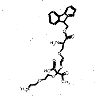 CC(=O)C(OCCOCCN)(OCCOCC(N)C(=O)OCC1c2ccccc2-c2ccccc21)C(=O)O